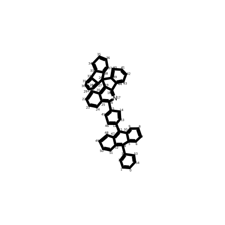 c1ccc(-c2c3ccccc3c(-c3ccc(-c4nc5c(c6ccccc46)C4(c6ccccc6-c6ccccc64)c4ccccc4-5)cc3)c3ccccc23)cc1